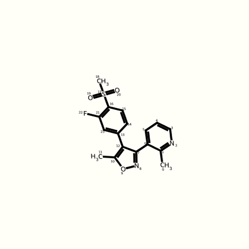 Cc1ncccc1-c1noc(C)c1-c1ccc(S(C)(=O)=O)c(F)c1